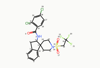 O=C(NC1Cc2ccccc2C12CCN(S(=O)(=O)CC(F)(F)F)CC2)c1ccc(Cl)cc1Cl